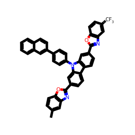 Cc1ccc2oc(-c3ccc4c5ccc(-c6nc7cc(C(F)(F)F)ccc7o6)cc5n(-c5ccc(-c6ccc7ccccc7c6)cc5)c4c3)nc2c1